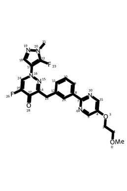 COCCOc1cnc(-c2cccc(Cc3nn(-c4cnn(C)c4F)cc(F)c3=O)c2)nc1